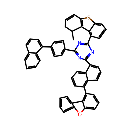 CC1CC=Cc2sc3cccc(-c4nc(-c5ccc(-c6cccc7ccccc67)cc5)nc(-c5cccc6c(-c7cccc8oc9ccccc9c78)cccc56)n4)c3c21